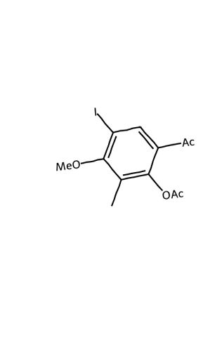 COc1c(I)cc(C(C)=O)c(OC(C)=O)c1C